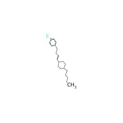 CCCCCC1CCC(C=CCCc2ccc(F)cc2)CC1